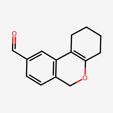 O=Cc1ccc2c(c1)C1=C(CCCC1)OC2